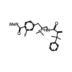 C=C(C(=O)NC[C@H](Cc1ccc(C(=O)NC)c(F)c1)N(C)C)C(C)(C)c1ccccc1